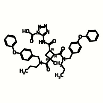 CCCN(Cc1ccc(Oc2ccccc2)cc1)C(=O)[C@@H]1[C@H](C(=O)Nc2nnnn2C(=O)O)C[C@@]1(C)C(=O)N(CCC)Cc1ccc(Oc2ccccc2)cc1